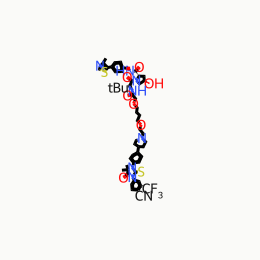 Cc1ncsc1-c1ccc(CNC(=O)[C@@H]2C[C@@H](O)CN2C(=O)C(NC(=O)COCCCCOCCN2CCC(c3ccc(N4C(=S)N(c5ccc(C#N)c(C(F)(F)F)c5)C(=O)C4(C)C)cc3)CC2)C(C)(C)C)cc1